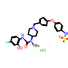 CCCCN(C(=O)Nc1ccc(F)cc1O)C1CCN(Cc2ccc(Oc3ccc(NS(C)(=O)=O)cc3)cc2)CC1.Cl